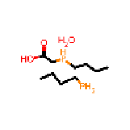 CCCCP.CCCCPCC(=O)O.O